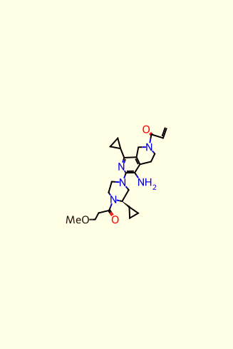 C=CC(=O)N1CCc2c(N)c(N3CCN(C(=O)CCOC)[C@H](C4CC4)C3)nc(C3CC3)c2C1